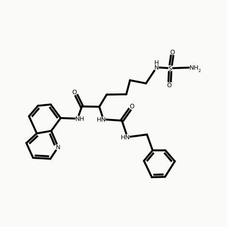 NS(=O)(=O)NCCCCC(NC(=O)NCc1ccccc1)C(=O)Nc1cccc2cccnc12